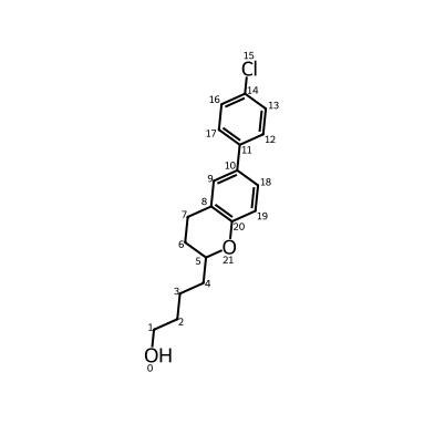 OCCCCC1CCc2cc(-c3ccc(Cl)cc3)ccc2O1